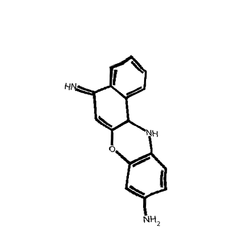 N=C1C=C2Oc3cc(N)ccc3NC2c2ccccc21